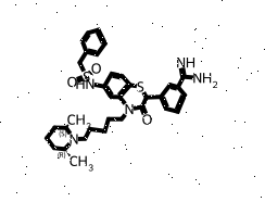 C[C@@H]1CCC[C@H](C)N1CCCCCN1C(=O)C(c2cccc(C(=N)N)c2)Sc2ccc(NS(=O)(=O)Cc3ccccc3)cc21